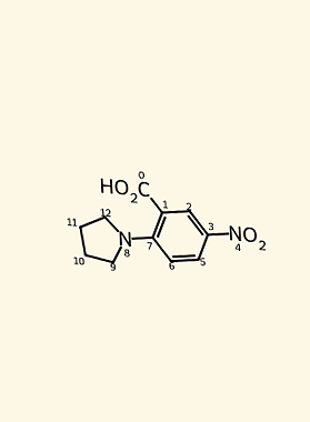 O=C(O)c1cc([N+](=O)[O-])ccc1N1CCCC1